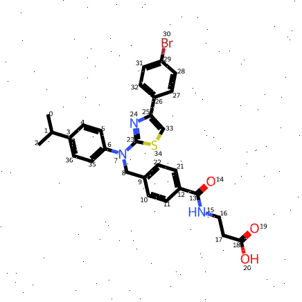 CC(C)c1ccc(N(Cc2ccc(C(=O)NCCC(=O)O)cc2)c2nc(-c3ccc(Br)cc3)cs2)cc1